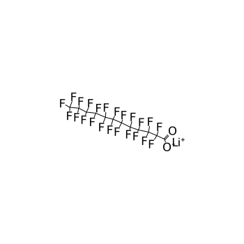 O=C([O-])C(F)(F)C(F)(F)C(F)(F)C(F)(F)C(F)(F)C(F)(F)C(F)(F)C(F)(F)C(F)(F)C(F)(F)C(F)(F)F.[Li+]